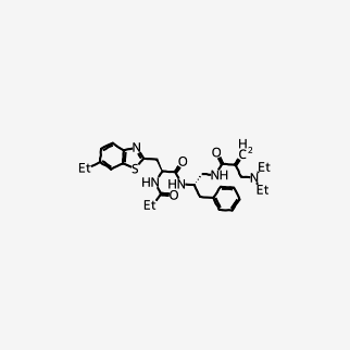 C=C(CN(CC)CC)C(=O)NC[C@H](Cc1ccccc1)NC(=O)[C@H](Cc1nc2ccc(CC)cc2s1)NC(=O)CC